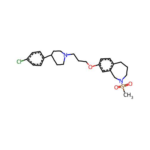 CS(=O)(=O)N1CCCc2ccc(OCCCN3CCC(c4ccc(Cl)cc4)CC3)cc2C1